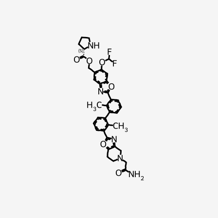 Cc1c(-c2nc3c(o2)CCN(CC(N)=O)C3)cccc1-c1cccc(-c2nc3cc(COC(=O)[C@@H]4CCCN4)c(OC(F)F)cc3o2)c1C